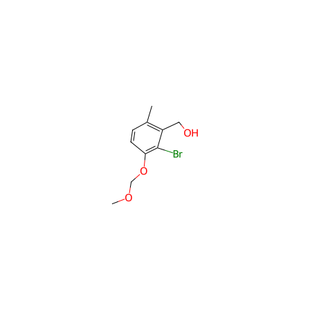 COCOc1ccc(C)c(CO)c1Br